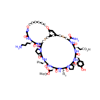 COOC(=O)C[C@@H]1NC(=O)[C@H](CC(C)C)NC(=O)[C@@H]2CCCN2C(=O)[C@@H]2CSCc3cc(cc(c3)OCCCCCCO/N=C/C(=O)N[C@@H](CCCCN)C(=O)N2)CSC[C@@H](C(N)=O)NC(=O)[C@H](CCC(=O)O)NC(=O)[C@H](Cc2ccc(O)cc2)NC(=O)[C@@H]2CCCN2C(=O)[C@H](C)NC1=O